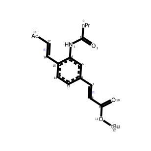 CCCC(=O)Nc1cc(/C=C/C(=O)OC(C)(C)C)ccc1/C=C/C(C)=O